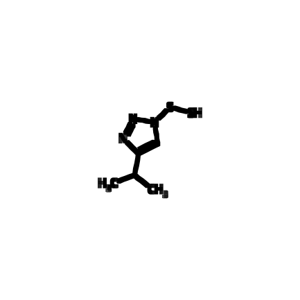 CC(C)c1cn(SS)nn1